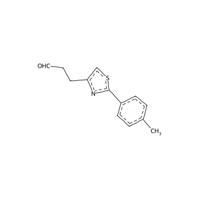 Cc1ccc(-c2nc(CCC=O)cs2)cc1